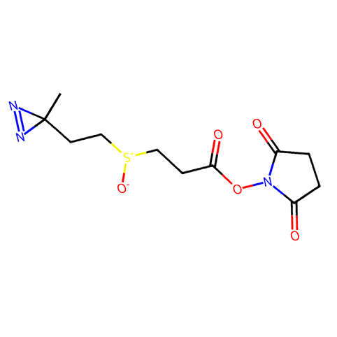 CC1(CC[S+]([O-])CCC(=O)ON2C(=O)CCC2=O)N=N1